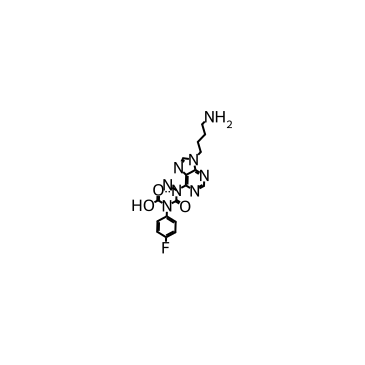 [N]N(C(=O)N(C(=O)O)c1ccc(F)cc1)c1ncnc2c1ncn2CCCCN